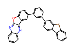 c1cc(-c2ccc3c(c2)sc2ccccc23)cc(-c2ccc3oc4nc5ccccc5nc4c3c2)c1